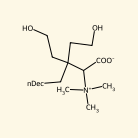 CCCCCCCCCCCC(CCO)(CCO)C(C(=O)[O-])[N+](C)(C)C